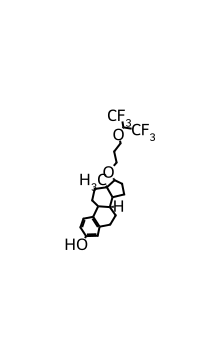 C[C@]12CCC3c4ccc(O)cc4CC[C@H]3C1CC[C@@H]2OCCCOC(C(F)(F)F)C(F)(F)F